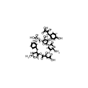 CN(C)N[C@@H](Cc1ccccc1)C(=O)OC(=O)C(O)CC(=O)O.Nc1ccn([C@@H]2O[C@H](COP(=O)(O)O)[C@@H](O)[C@H]2O)c(=O)n1.O=C(O)C(=O)Cc1ccc(O)cc1